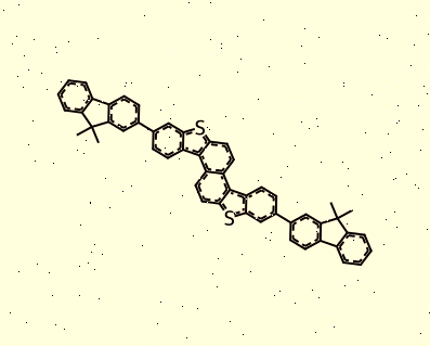 CC1(C)c2ccccc2-c2ccc(-c3ccc4c(c3)sc3ccc5c(ccc6sc7cc(-c8ccc9c(c8)C(C)(C)c8ccccc8-9)ccc7c65)c34)cc21